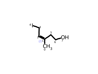 C/C(=C/CI)CCO